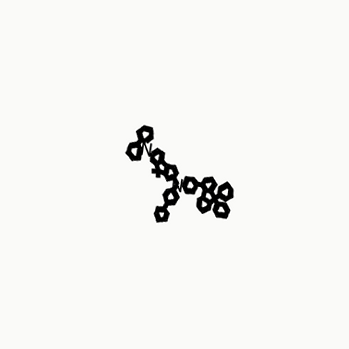 CC1(C)c2cc(N(c3ccc(-c4ccccc4)cc3)c3ccc(-c4cccc5c4C4C=CC=CC4C5(c4ccccc4)c4ccccc4)cc3)ccc2-c2ccc(-n3c4ccccc4c4ccccc43)cc21